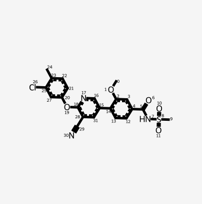 COc1cc(C(=O)NS(C)(=O)=O)ccc1-c1cnc(Oc2ccc(C)c(Cl)c2)c(C#N)c1